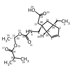 CC[C@@]12CC=C[C@@H]1[C@](CNC(=O)O[C@@H](C)OC(=O)C(C)C)(CC(=O)O)C2